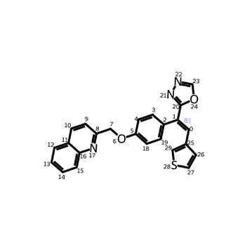 C(=C(/c1ccc(OCc2ccc3ccccc3n2)cc1)c1nnco1)/c1ccsc1